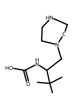 CC(C)(C)C(CN1CCNCC1)NC(=O)O